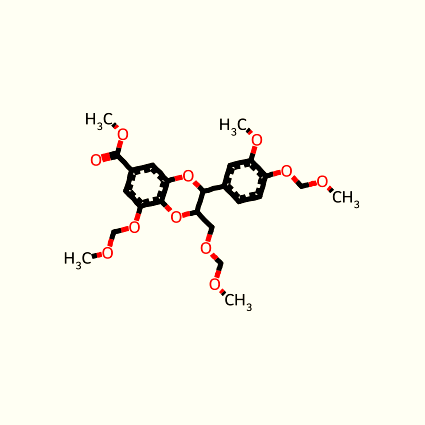 COCOCC1Oc2c(OCOC)cc(C(=O)OC)cc2OC1c1ccc(OCOC)c(OC)c1